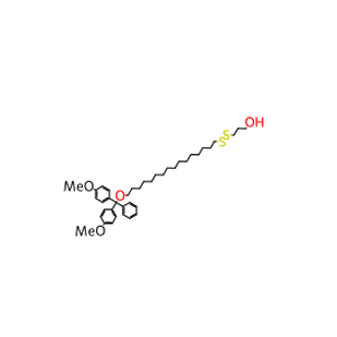 COc1ccc(C(OCCCCCCCCCCCCCCCCSSCCCO)(c2ccccc2)c2ccc(OC)cc2)cc1